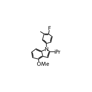 COc1cccc2c1cc(C(C)C)n2-c1ccc(F)c(C)c1